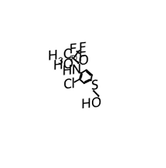 C[C@@](O)(C(=O)Nc1ccc(SCCO)cc1Cl)C(F)(F)F